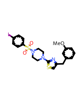 COc1cccc(Cc2csc(N3CCN(S(=O)(=O)c4ccc(I)cc4)CC3)n2)c1